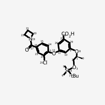 C[C@@H](CO[Si](C)(C)C(C)(C)C)Oc1cc(Oc2ccc(C(=O)N3CCC3)cc2Cl)cc(C(=O)O)c1